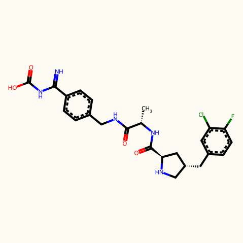 C[C@H](NC(=O)[C@H]1C[C@H](Cc2ccc(F)c(Cl)c2)CN1)C(=O)NCc1ccc(C(=N)NC(=O)O)cc1